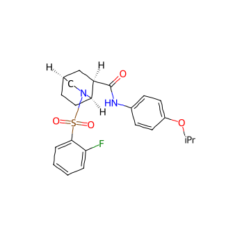 CC(C)Oc1ccc(NC(=O)[C@@H]2C[C@@H]3CC[C@H]2N(S(=O)(=O)c2ccccc2F)C3)cc1